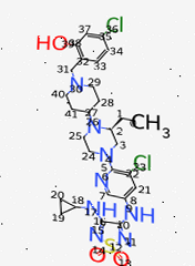 CC[C@H]1CN(c2ncc(NC3=NS(=O)(=O)N=C3NC3CC3)cc2Cl)CCN1C1CCN(Cc2ccc(Cl)cc2O)CC1